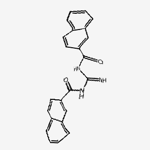 N=C(NC(=O)c1ccc2ccccc2c1)NC(=O)c1ccc2ccccc2c1